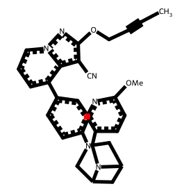 CC#CCOc1nn2cccc(-c3ccc(N4CC5CC(C4)N5Cc4ccc(OC)nc4)nc3)c2c1C#N